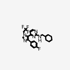 Fc1ccc(-c2ncn(CC(F)(F)F)c2-c2ccnc(NCC3CCCCC3)n2)cc1